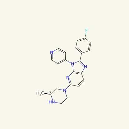 C[C@H]1CN(c2ccc3nc(-c4ccc(F)cc4)n(-c4ccncc4)c3n2)CCN1